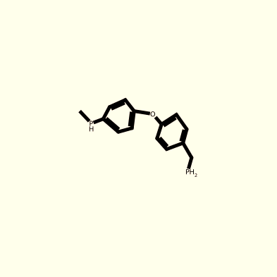 CPc1ccc(Oc2ccc(CP)cc2)cc1